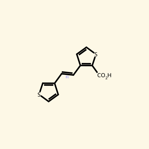 O=C(O)c1sccc1/C=C/c1ccsc1